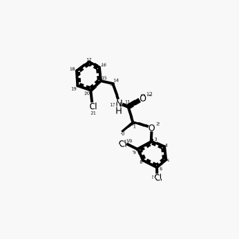 CC(Oc1ccc(Cl)cc1Cl)C(=O)NCc1ccccc1Cl